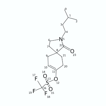 CC(C)CCN1CCC2(CC=C(OS(=O)(=O)C(F)(F)F)CC2)C1=O